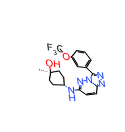 C[C@]1(O)CC[C@H](Nc2ccc3nnc(-c4cccc(OC(F)(F)F)c4)n3n2)CC1